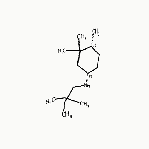 C[C@@H]1CC[C@H](NCC(C)(C)C)CC1(C)C